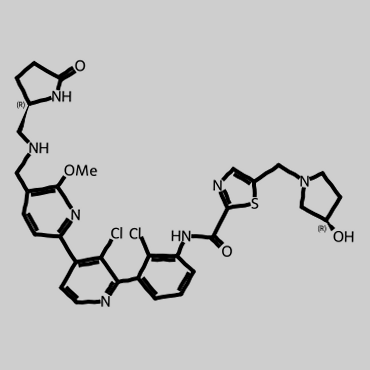 COc1nc(-c2ccnc(-c3cccc(NC(=O)c4ncc(CN5CC[C@@H](O)C5)s4)c3Cl)c2Cl)ccc1CNC[C@H]1CCC(=O)N1